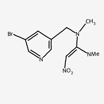 CNC(=C[N+](=O)[O-])N(C)Cc1cncc(Br)c1